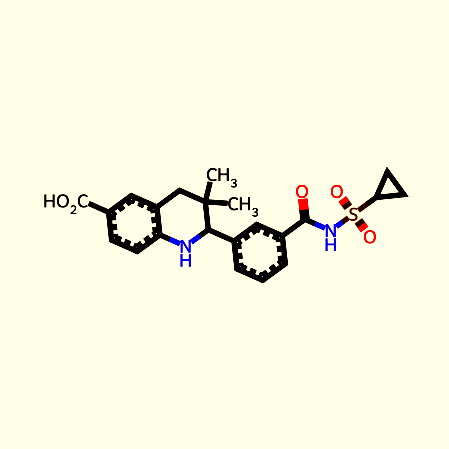 CC1(C)Cc2cc(C(=O)O)ccc2NC1c1cccc(C(=O)NS(=O)(=O)C2CC2)c1